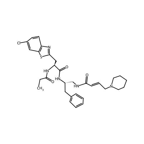 CCC(=O)N[C@@H](Cc1nc2ccc(Cl)cc2s1)C(=O)N[C@H](CNC(=O)/C=C/CN1CCCCC1)Cc1ccccc1